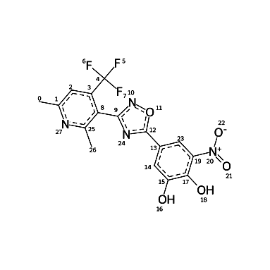 Cc1cc(C(F)(F)F)c(-c2noc(-c3cc(O)c(O)c([N+](=O)[O-])c3)n2)c(C)n1